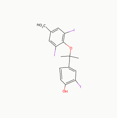 CC(C)(Oc1c(I)cc(C(=O)O)cc1I)c1ccc(O)c(I)c1